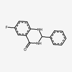 O=C1NC(c2ccccc2)Nc2ccc(F)cc21